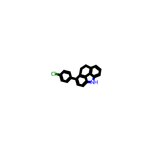 Clc1ccc(-c2ccc3[nH]c4cccc5c4c3c2CC5)cc1